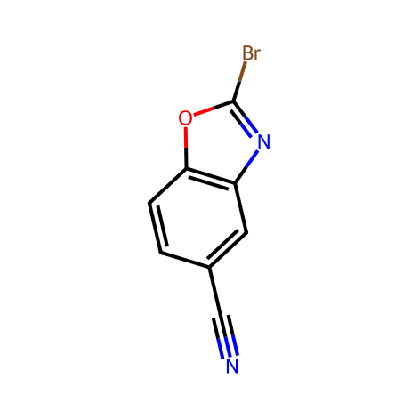 N#Cc1ccc2oc(Br)nc2c1